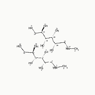 CNC[C@H](O)[C@@H](O)[C@H](O)[C@H](O)CO.CNC[C@H](O)[C@@H](O)[C@H](O)[C@H](O)CO